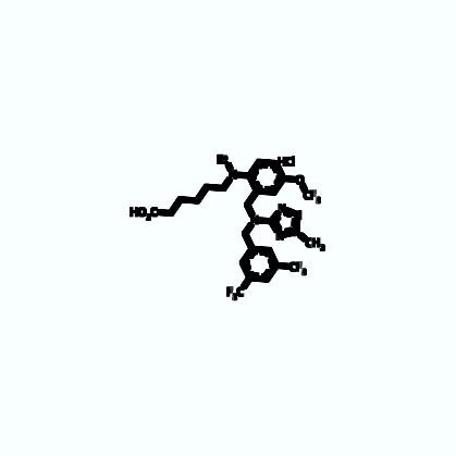 CCN(CCCCCC(=O)O)c1ccc(OC(F)(F)F)cc1CN(Cc1cc(C(F)(F)F)cc(C(F)(F)F)c1)c1nnn(C)n1.Cl